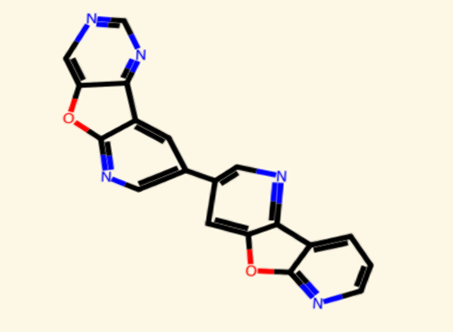 c1cnc2oc3cc(-c4cnc5oc6cncnc6c5c4)cnc3c2c1